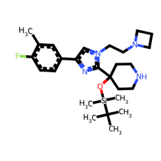 Cc1cc(-c2cn(CCN3CCC3)c(C3(O[Si](C)(C)C(C)(C)C)CCNCC3)n2)ccc1F